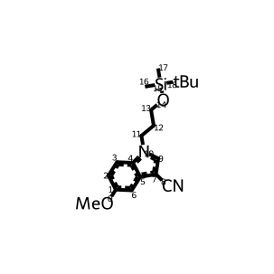 COc1ccc2c(c1)c(C#N)cn2CCCO[Si](C)(C)C(C)(C)C